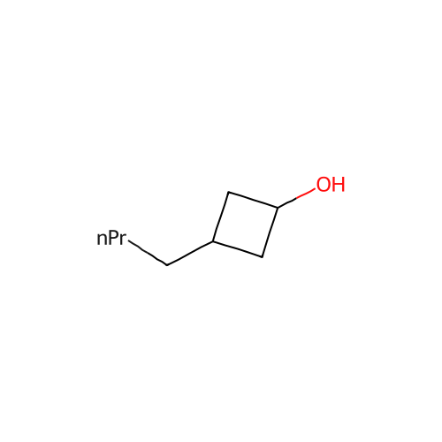 CCCCC1CC(O)C1